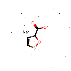 O=C([O-])C1C=CSO1.[Na+]